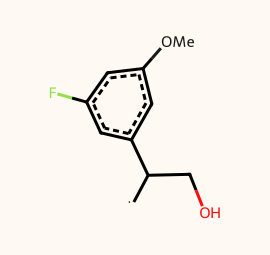 [CH2]C(CO)c1cc(F)cc(OC)c1